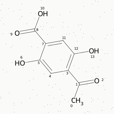 CC(=O)c1cc(O)c(C(=O)O)cc1O